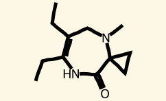 CCC1=C(CC)NC(=O)C2(CC2)N(C)C1